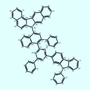 c1ccc(-c2nc(-c3ccc4c5ccccc5n(-c5ccccc5)c4c3)nc(-c3c(-c4ccccc4)cc(-n4c5cc6ccccc6cc5c5c6ccccc6ccc54)c4ccccc34)n2)cc1